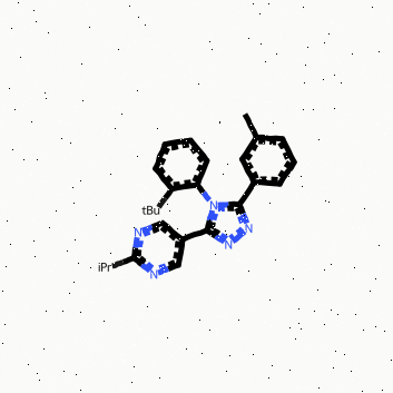 Cc1cccc(-c2nnc(-c3cnc(C(C)C)nc3)n2-c2ccccc2C(C)(C)C)c1